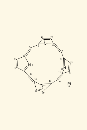 C1=CC2=NC1=CC1=NC(=CC3=NC(=CC4=NC(=C2)C=C4)C=C3)C=C1.[Pt]